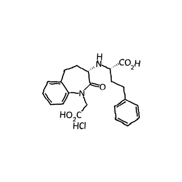 Cl.O=C(O)CN1C(=O)[C@@H](N[C@@H](CCc2ccccc2)C(=O)O)CCc2ccccc21